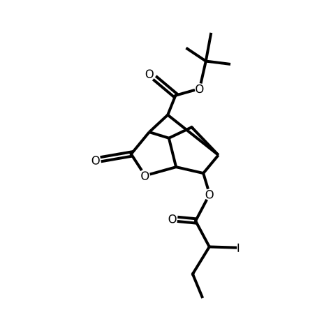 CCC(I)C(=O)OC1C2CC3C1OC(=O)C3C2C(=O)OC(C)(C)C